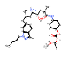 COCCCn1nc(C)c2ccc(C[C@@H](C[C@H](N)[C@@H](O)C[C@H](C(=O)NC3CCC(OC(=O)OC(C)O[N+](=O)[O-])CC3)C(C)C)C(C)C)cc21